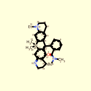 CCCCN(C)C(=O)c1ccccc1C1=c2cc3c(cc2[Si](C)(C)c2cc4c(cc21)CCCN4CC)=NCCC3